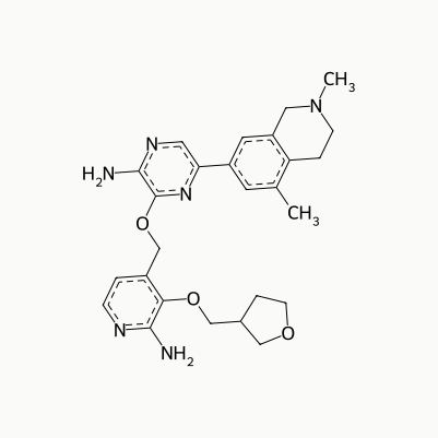 Cc1cc(-c2cnc(N)c(OCc3ccnc(N)c3OCC3CCOC3)n2)cc2c1CCN(C)C2